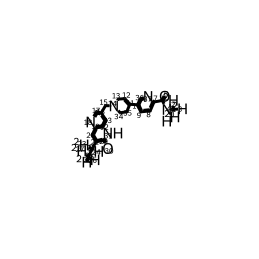 [2H]C([2H])([2H])NC(=O)c1ccc(C2=CCN(Cc3cnc4cc(C([2H])([2H])C([2H])([2H])[2H])c(=O)[nH]c4c3)CC2)cn1